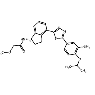 COCC(=O)N[C@H]1CCc2c(-c3nnc(-c4ccc(OC(C)C)c(N)c4)s3)cccc21